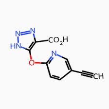 C#Cc1ccc(Oc2[nH]nnc2C(=O)O)nc1